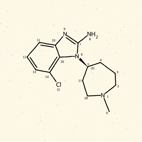 CN1CCC[C@H](n2c(N)nc3cccc(Cl)c32)CC1